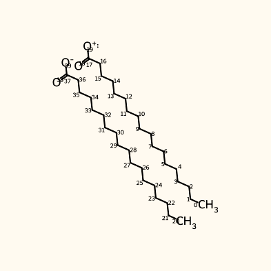 CCCCCCCCCCCCCCCCCC(=O)[O+].CCCCCCCCCCCCCCCCCC(=O)[O-]